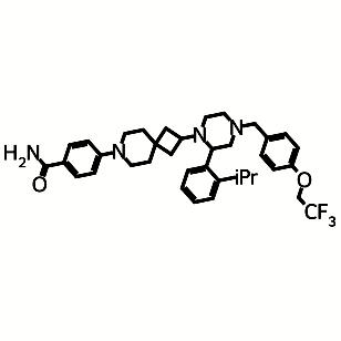 CC(C)c1ccccc1C1CN(Cc2ccc(OCC(F)(F)F)cc2)CCN1C1CC2(CCN(c3ccc(C(N)=O)cc3)CC2)C1